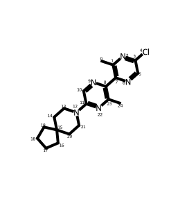 Cc1nc(Cl)cnc1-c1ncc(N2CCC3(CCCC3)CC2)nc1C